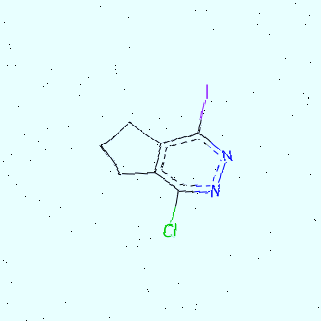 Clc1nnc(I)c2c1CCC2